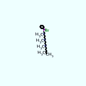 CC(C)=CCC/C(C)=C/CC/C(C)=C/CC/C(C)=C/CP(Br)c1ccccc1